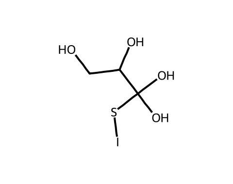 OCC(O)C(O)(O)SI